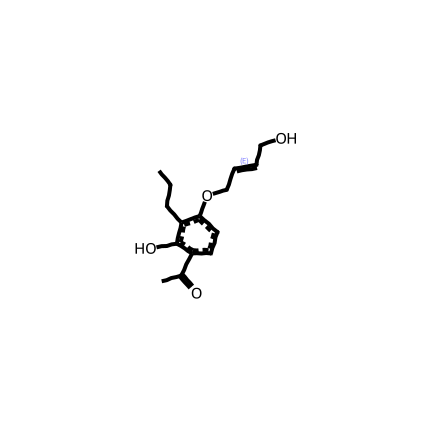 CCCc1c(OC/C=C/CO)ccc(C(C)=O)c1O